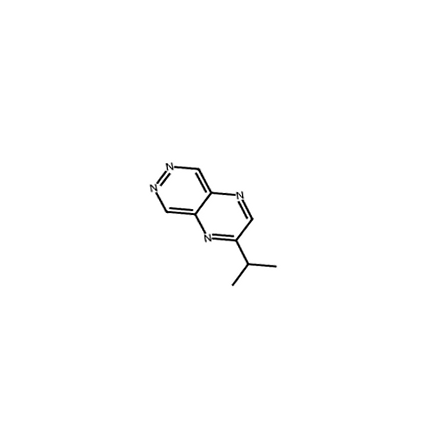 CC(C)c1cnc2cnncc2n1